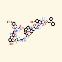 NC(=O)[C@H](Cc1ccc(O)c(Cc2cnc(NCCCNc3ncc(Cc4cc(C[C@H](NC(=O)CNC(=O)[C@H](Cc5ccc(O)cc5)NC(=O)OCC5c6ccccc6-c6ccccc65)C(N)=O)ccc4O)s3)s2)c1)NC(=O)CNC(=O)[C@H](Cc1ccc(O)cc1)NC(=O)OCC1c2ccccc2-c2ccccc21